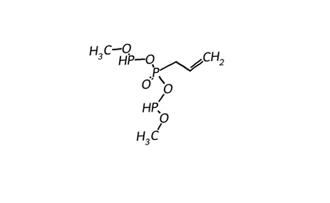 C=CCP(=O)(OPOC)OPOC